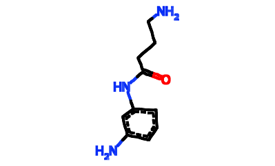 NCCCC(=O)Nc1cccc(N)c1